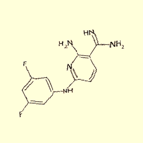 N=C(N)c1ccc(Nc2cc(F)cc(F)c2)nc1N